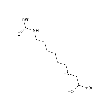 CCCCC(O)CNCCCCCCNC(=O)CCC